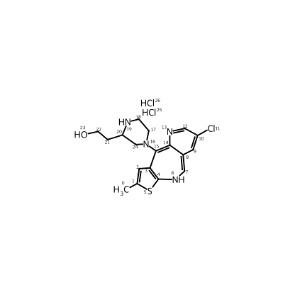 Cc1cc2c(s1)NC=c1cc(Cl)cnc1=C2N1CCNC(CCO)C1.Cl.Cl